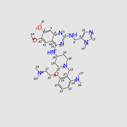 COc1cc2nc(NCc3cncn3C)nc(NC3CCN(Cc4c(OCCN(C)C)cccc4N(C)C)CC3)c2cc1OC